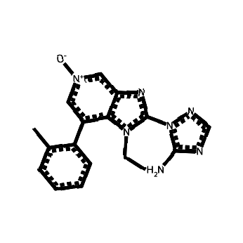 CCn1c(-n2ncnc2N)nc2c[n+]([O-])cc(-c3ccccc3C)c21